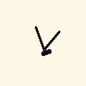 CCCCCCCCCCCCCCCCCCC(CCCCCCCCCCCCCCCCCC)Cc1cc(OC)ccc1OC